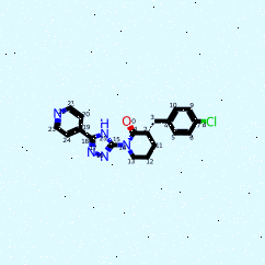 O=C1[C@H](Cc2ccc(Cl)cc2)CCCN1c1nnc(-c2ccncc2)[nH]1